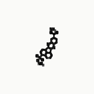 NOC(=O)c1ccc2nc3c(nc2c1)-c1ccc(S(=O)(=O)ON)c2cccc-3c12